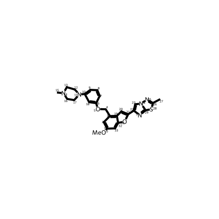 COc1cc(COc2cccc(N3CCN(C)CC3)c2)c2cc(-c3cn4nc(C)sc4n3)oc2c1